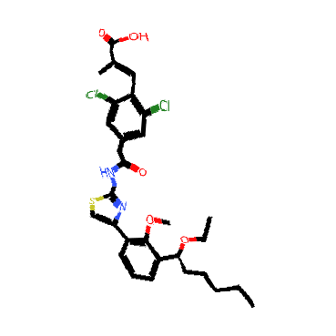 CCCCC[C@H](OCC)c1cccc(-c2csc(NC(=O)c3cc(Cl)c(/C=C(\C)C(=O)O)c(Cl)c3)n2)c1OC